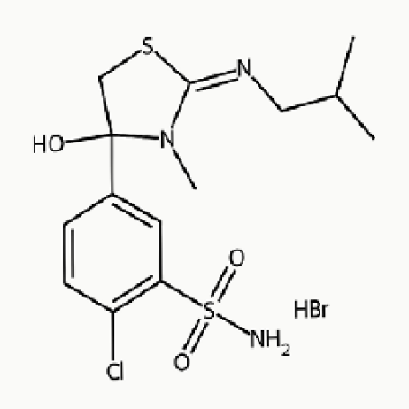 Br.CC(C)CN=C1SCC(O)(c2ccc(Cl)c(S(N)(=O)=O)c2)N1C